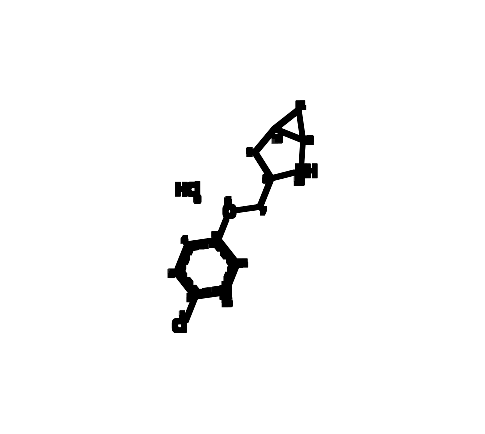 Cl.Clc1ccc(OCC2CC3CC3N2)cn1